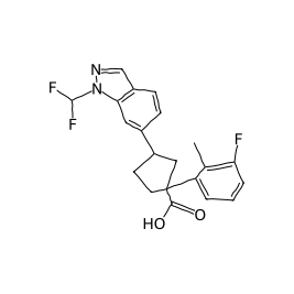 Cc1c(F)cccc1C1(C(=O)O)CCC(c2ccc3cnn(C(F)F)c3c2)C1